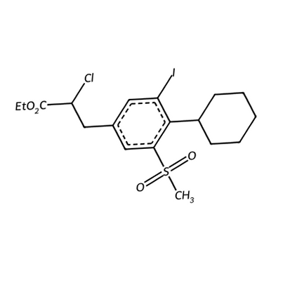 CCOC(=O)C(Cl)Cc1cc(I)c(C2CCCCC2)c(S(C)(=O)=O)c1